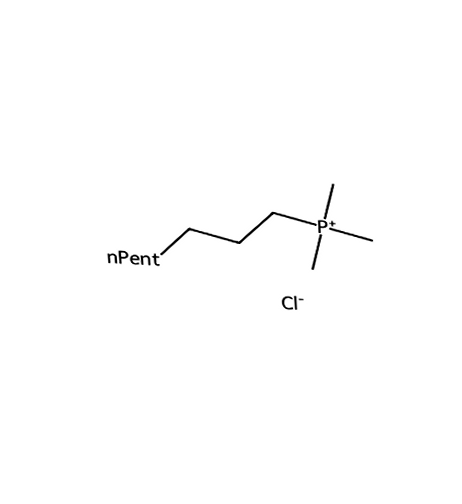 CCCCCCCC[P+](C)(C)C.[Cl-]